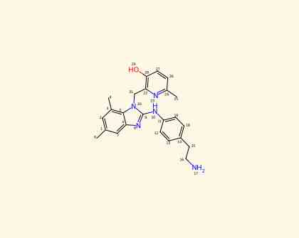 Cc1cc(C)c2c(c1)nc(Nc1ccc(CCN)cc1)n2Cc1nc(C)ccc1O